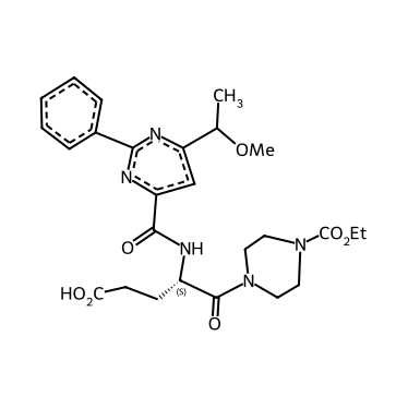 CCOC(=O)N1CCN(C(=O)[C@H](CCC(=O)O)NC(=O)c2cc(C(C)OC)nc(-c3ccccc3)n2)CC1